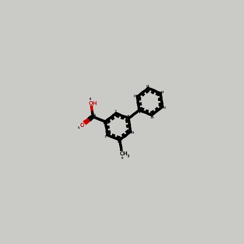 Cc1cc(C(=O)O)cc(-c2ccccc2)c1